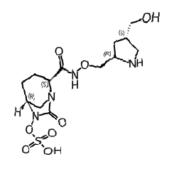 O=C(NOC[C@H]1C[C@H](CO)CN1)[C@@H]1CC[C@@H]2CN1C(=O)N2OS(=O)(=O)O